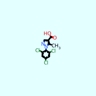 Cc1c(C(=O)O)cnn1-c1c(Cl)cc(Cl)cc1Cl